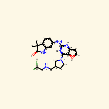 CC1(C)C(=O)Nc2cc(Nc3nc(N4CCC(CNCC(F)F)C4)c4occc4n3)ccc21